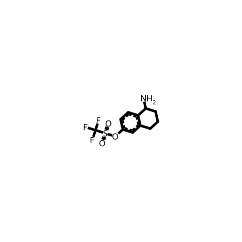 NC1CCCc2cc(OS(=O)(=O)C(F)(F)F)ccc21